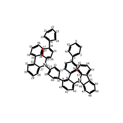 c1ccc(-c2ccc(-c3c(-c4ccc(N(c5ccc(-c6ccccc6)cc5)c5ccccc5-c5ccccc5)cc4)cccc3-n3c4ccccc4c4ccccc43)cc2)cc1